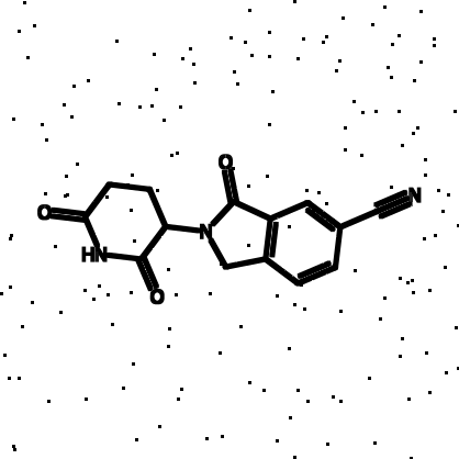 N#Cc1ccc2c(c1)C(=O)N(C1CCC(=O)NC1=O)C2